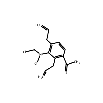 C=CCc1ccc(C(C)=O)c(CC=C)c1N(Cl)CCl